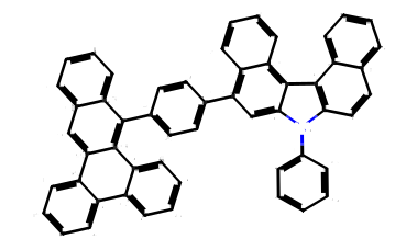 c1ccc(-n2c3ccc4ccccc4c3c3c4ccccc4c(-c4ccc(-c5c6ccccc6cc6c7ccccc7c7ccccc7c56)cc4)cc32)cc1